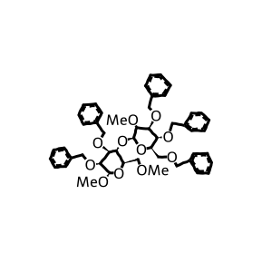 COC[C@H]1O[C@H](OC)[C@H](OCc2ccccc2)[C@@H](OCc2ccccc2)[C@@H]1O[C@@H]1O[C@H](COCc2ccccc2)[C@@H](OCc2ccccc2)[C@H](OCc2ccccc2)[C@@H]1OC